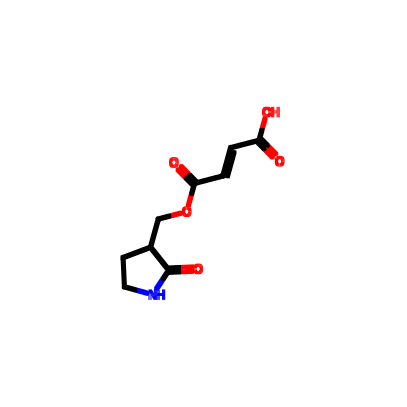 O=C(O)/C=C/C(=O)OCC1CCNC1=O